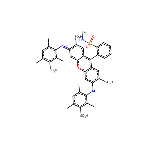 CCC(C)NS(=O)(=O)c1ccccc1-c1c2cc(S(=O)(=O)O)/c(=N/c3c(C)cc(C)c(S(=O)(=O)O)c3C)cc-2oc2cc(Nc3c(C)cc(C)c(S(=O)(=O)O)c3C)c(S(=O)(=O)O)cc12